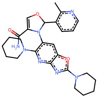 Cc1ncccc1C1OC=C(C(N)=O)N1c1cc2oc(N3CCCCC3)nc2nc1N1CCCCC1